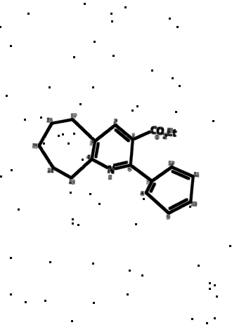 CCOC(=O)c1cc2c(nc1-c1ccccc1)CCCCC2